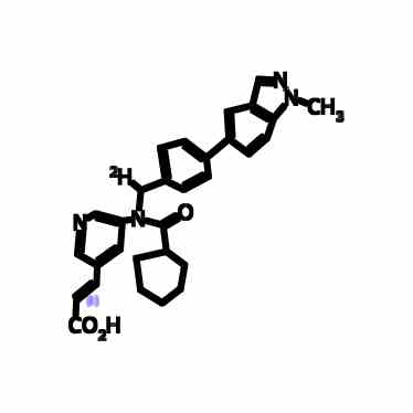 [2H]C(c1ccc(-c2ccc3c(cnn3C)c2)cc1)N(C(=O)C1CCCCC1)c1cncc(/C=C/C(=O)O)c1